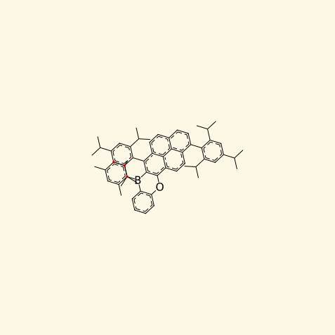 Cc1cc(C)c(B2c3ccccc3Oc3c2c(-c2c(C(C)C)cc(C(C)C)cc2C(C)C)c2ccc4ccc(-c5c(C(C)C)cc(C(C)C)cc5C(C)C)c5ccc3c2c45)c(C)c1